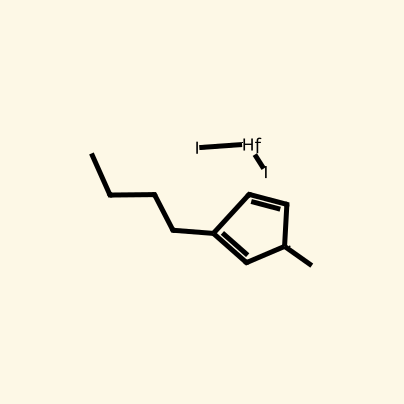 CCCCC1=C[C](C)C=C1.[I][Hf][I]